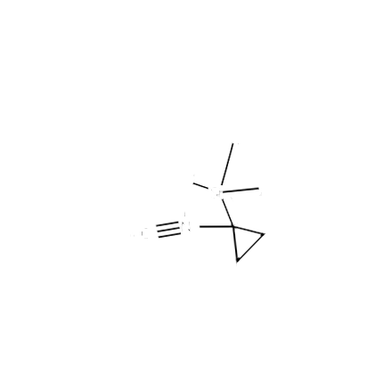 [C-]#[N+]C1([Si](C)(C)C)CC1